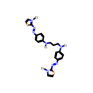 CCN(CCCN(CC)c1ccc(N=Nc2scc[n+]2CC)cc1)c1ccc(N=Nc2scc[n+]2CC)cc1